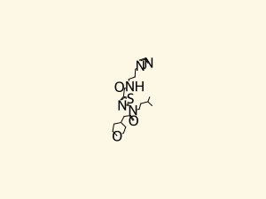 CC(C)CCN(C(=O)CC1CCOCC1)c1ncc(C(=O)NCCCn2ccnc2)s1